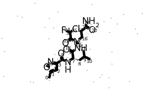 Cc1cc(C(=O)N[C@@H](CC(C)C)C(=O)NN(CCC(N)=O)C(=O)C(F)Cl)no1